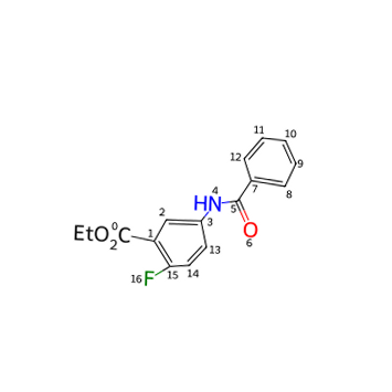 CCOC(=O)c1cc(NC(=O)c2ccccc2)ccc1F